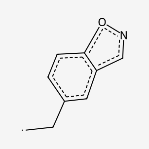 [CH2]Cc1ccc2oncc2c1